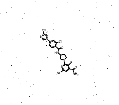 Cc1ncn(-c2ccc(C(=O)NC3CCN(c4nc(C#N)cc(C(N)=O)c4F)C3)c(Cl)c2)n1